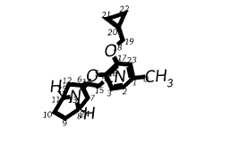 Cc1ccc(O[C@H]2C[C@H]3CC[C@@H](C2)N3CCC#N)c(OCC2CC2)c1